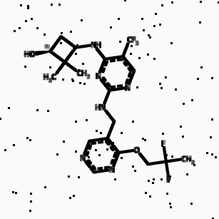 CC(F)(F)COc1ncncc1CNc1ncc(C(F)(F)F)c(NC2C[C@H](O)C2(C)C)n1